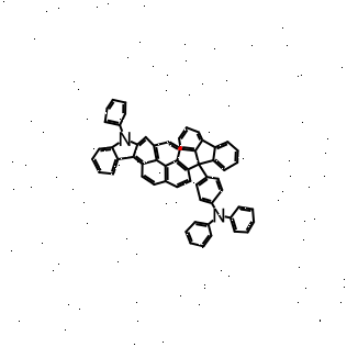 c1ccc(N(c2ccccc2)c2ccc(C3(c4ccc5ccc6c7c(ccc4c57)cc4c6c5ccccc5n4-c4ccccc4)c4ccccc4-c4ccccc43)cc2)cc1